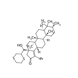 CC(C)C1=C2[C@H]3CC[C@@H]4[C@@]5(C)CC[C@H](C)C(C)(C)[C@@H]5CC[C@@]4(C)[C@]3(C)CC[C@@]2(C(O)C2CSCCS2)CC1=O